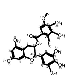 COc1cc(C(=O)OC2Cc3c(O)cc(O)cc3O[C@@H]2c2cc(O)c(O)c(O)c2)c(F)c(O)c1O